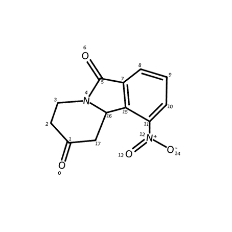 O=C1CCN2C(=O)c3cccc([N+](=O)[O-])c3C2C1